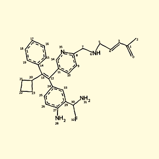 C=C(C)/C=C/CNCc1ccc(/C(=C(\c2ccccc2)C2CCC2)c2ccc(N)c(C(N)F)c2)cn1